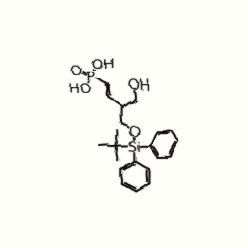 CC(C)(C)[Si](OCC(C=CP(=O)(O)O)CO)(c1ccccc1)c1ccccc1